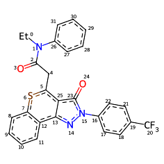 CCN(C(=O)Cc1sc2ccccc2c2nn(-c3ccc(C(F)(F)F)cc3)c(=O)c1-2)c1ccccc1